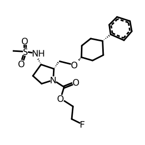 CS(=O)(=O)N[C@H]1CCN(C(=O)OCCF)[C@H]1CO[C@H]1CC[C@@H](c2ccccc2)CC1